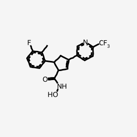 Cc1c(F)cccc1C1CC(c2ccc(C(F)(F)F)nc2)=CC1C(=O)NO